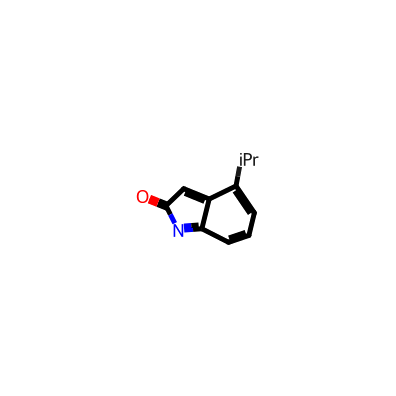 CC(C)c1cccc2c1=CC(=O)N=2